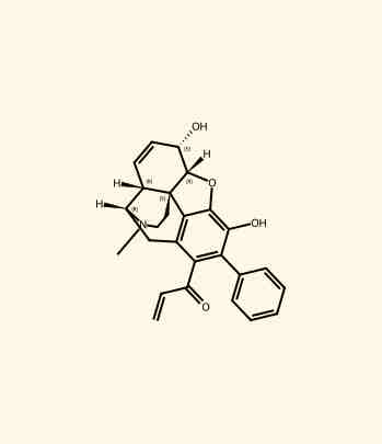 C=CC(=O)c1c2c3c(c(O)c1-c1ccccc1)O[C@H]1[C@@H](O)C=C[C@H]4[C@@H](C2)N(C)CC[C@@]341